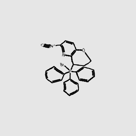 [C-]#[N+]c1ccc2c(n1)C(P(Br)(c1ccccc1)(c1ccccc1)c1ccccc1)CCO2